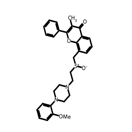 COc1ccccc1N1CCN(CC[S+]([O-])Cc2cccc3c(=O)c(C)c(-c4ccccc4)oc23)CC1